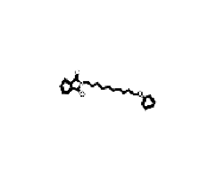 O=C1c2ccccc2C(=O)N1CCCCCCCCCCOc1ccccc1